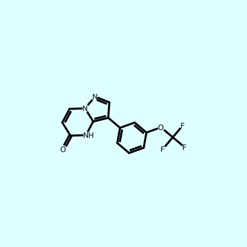 O=c1ccn2ncc(-c3cccc(OC(F)(F)F)c3)c2[nH]1